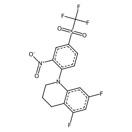 O=[N+]([O-])c1cc(S(=O)(=O)C(F)(F)F)ccc1N1CCCc2c(F)cc(F)cc21